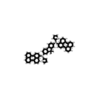 CC1(C)c2cc(N(c3cccs3)c3ccc4c5cccc6cccc(c7cccc3c74)c65)ccc2-c2ccc(N(c3cccs3)c3ccc4c5cccc6cccc(c7cccc3c74)c65)cc21